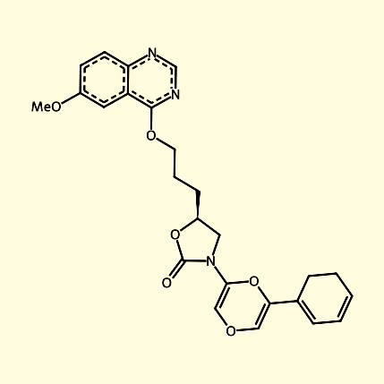 COc1ccc2ncnc(OCCC[C@H]3CN(C4=COC=C(C5=CC=CCC5)O4)C(=O)O3)c2c1